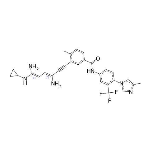 Cc1cn(-c2ccc(NC(=O)c3ccc(C)c(C#C/C(N)=C/C=C(\N)NC4CC4)c3)cc2C(F)(F)F)cn1